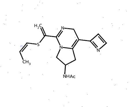 C=C(S/C=C\C)C1=NCC(C2=NC=C2)=C2CC(NC(C)=O)CN12